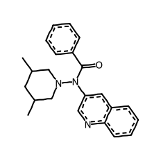 CC1CC(C)CN(N(C(=O)c2ccccc2)c2cnc3ccccc3c2)C1